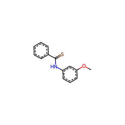 COc1cccc(NC(=S)c2ccccc2)c1